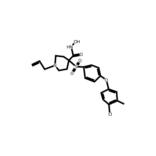 C=CCN1CCC(C(=O)NO)(S(=O)(=O)c2ccc(Oc3ccc(Cl)c(C)c3)cc2)CC1